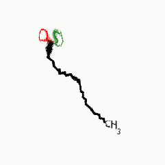 CCCCCCCCCCCCCCCCCCCCCCC#CC(=O)Cl